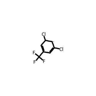 FC(F)(F)C1=CC(Cl)[CH]C(Cl)=C1